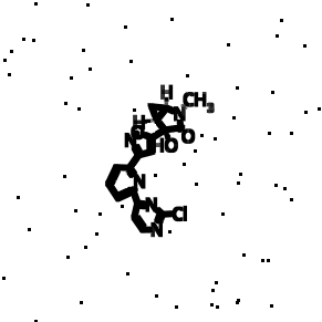 CN1C(=O)[C@](O)(c2cc(-c3cccc(-c4ccnc(Cl)n4)n3)no2)[C@H]2C[C@H]21